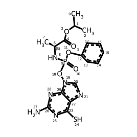 CC(C)OC(=O)[C@H](C)NP(=O)(Oc1ccccc1)On1cnc2c(S)nc(N)nc21